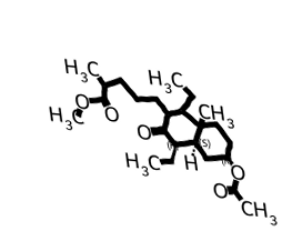 CCC1C(CCCC(C)C(=O)OC)C(=O)[C@H](CC)[C@@H]2C[C@H](OC(C)=O)CCC12C